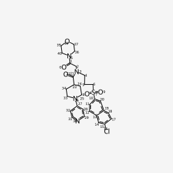 O=C(CN(CCCS(=O)(=O)c1ccc2cc(Cl)ccc2c1)C(=O)C1CCN(c2ccncc2)CC1)N1CCOCC1